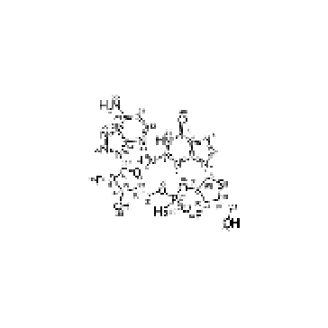 Nc1nc2c(ncn2[C@@H]2S[C@H](CO)[C@H](F)[C@H]2OP(=O)(S)OC[C@H]2O[C@@H](n3nnc4c(N)ccnc43)[C@@H](F)[C@@H]2O)c(=O)[nH]1